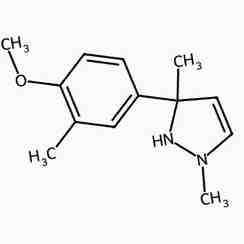 COc1ccc(C2(C)C=CN(C)N2)cc1C